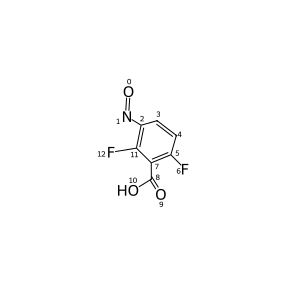 O=Nc1ccc(F)c(C(=O)O)c1F